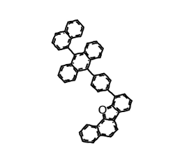 c1ccc2c(-c3c4ccccc4c(-c4ccc(-c5cccc6c5oc5c7ccccc7ccc65)cc4)c4ccccc34)cccc2c1